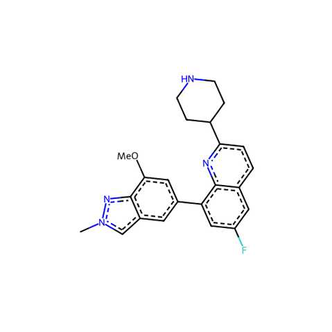 COc1cc(-c2cc(F)cc3ccc(C4CCNCC4)nc23)cc2cn(C)nc12